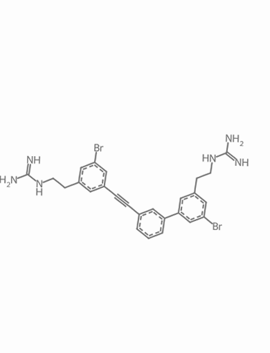 N=C(N)NCCc1cc(Br)cc(C#Cc2cccc(-c3cc(Br)cc(CCNC(=N)N)c3)c2)c1